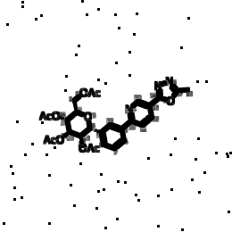 CC(=O)OC[C@H]1O[C@H](c2cccc(-c3ccc(-c4nnc(C)o4)cn3)c2)[C@@H](OC(C)=O)[C@@H](OC(C)=O)[C@@H]1OC(C)=O